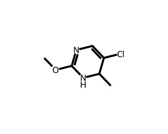 COC1=NC=C(Cl)C(C)N1